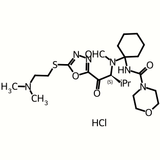 CC(C)[C@@H](C(=O)c1nnc(SCCN(C)C)o1)N(C=O)C1(NC(=O)N2CCOCC2)CCCCC1.Cl